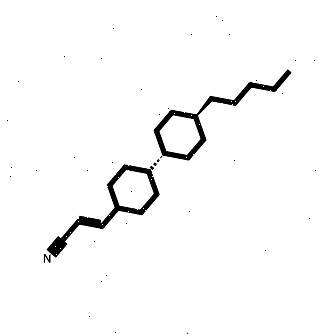 CCCCC[C@H]1CC[C@H](C2CCC(/C=C/C#N)CC2)CC1